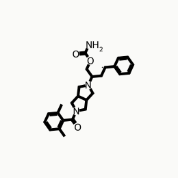 Cc1cccc(C)c1C(=O)N1CC2CN(C(C[CH]c3ccccc3)COC(N)=O)CC2C1